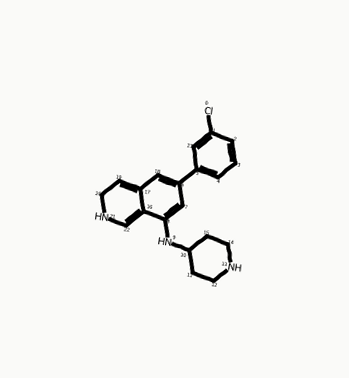 Clc1cccc(-c2cc(NC3CCNCC3)c3c(c2)=CCNC=3)c1